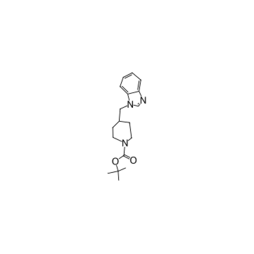 CC(C)(C)OC(=O)N1CCC(Cn2cnc3ccccc32)CC1